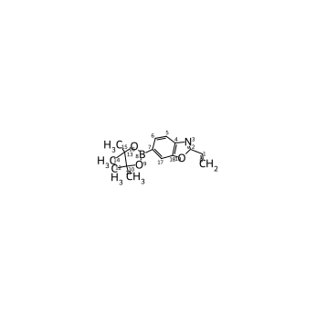 C=Cc1nc2ccc(B3OC(C)(C)C(C)(C)O3)cc2o1